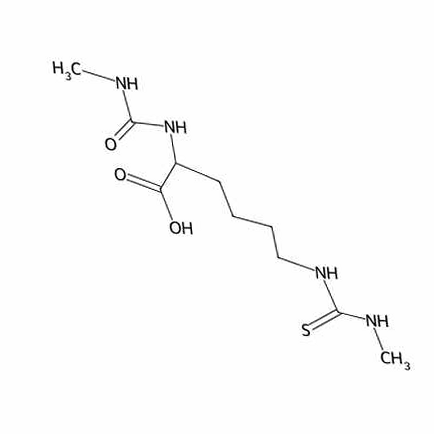 CNC(=O)NC(CCCCNC(=S)NC)C(=O)O